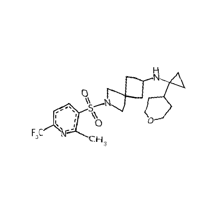 Cc1nc(C(F)(F)F)ccc1S(=O)(=O)N1CC2(CC(NC3(C4CCOCC4)CC3)C2)C1